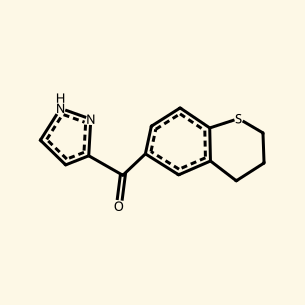 O=C(c1ccc2c(c1)CCCS2)c1cc[nH]n1